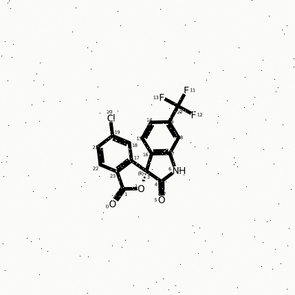 O=C1O[C@]2(C(=O)Nc3cc(C(F)(F)F)ccc32)c2cc(Cl)ccc21